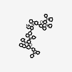 c1ccc(N(c2ccccc2)c2cc(N(c3ccccc3)c3ccccc3)c3c(c2)oc2c(-c4ccc5c6ccccc6n(-c6ccc(-c7ccc8c(N(c9ccccc9)c9cc(N(c%10ccccc%10)c%10cccc%11ccccc%10%11)c%10c(c9)oc9c(-c%11ccc%12c%13ccccc%13n(-c%13ccccc%13)c%12c%11)cccc9%10)cccc8c7)c7ccncc67)c5c4)cccc23)cc1